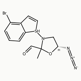 CC1(C=O)O[C@@H](N=[N+]=[N-])CN1[SH]1C=Cc2c(Br)cccc21